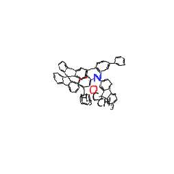 CC1(C)c2ccccc2-c2ccc(N(c3cc(-c4ccccc4)ccc3-c3ccc4c(c3)-c3ccccc3C43c4ccccc4-c4ccccc43)c3cccc4c3oc3ccccc34)cc21